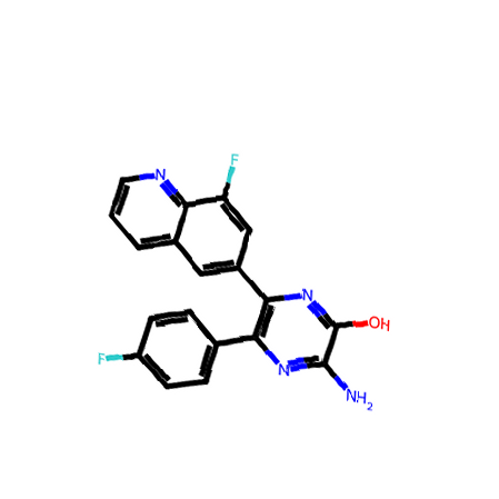 Nc1nc(-c2ccc(F)cc2)c(-c2cc(F)c3ncccc3c2)nc1O